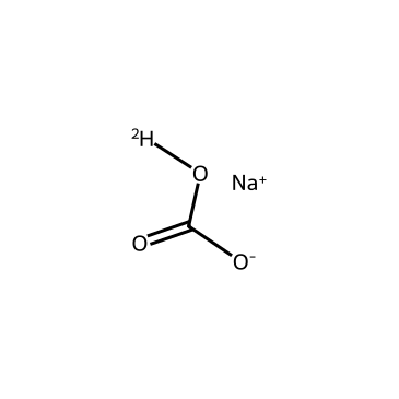 [2H]OC(=O)[O-].[Na+]